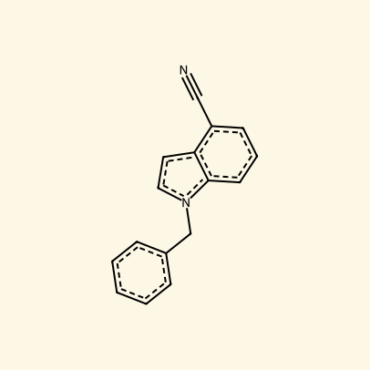 N#Cc1cccc2c1ccn2Cc1ccccc1